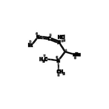 CCCCC(N=C=NCC)N(C)C.Cl